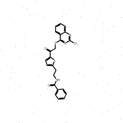 O=C(NCCc1ccc(C(=O)CSc2nc(C(F)(F)F)nc3ccccc23)s1)c1ccccc1